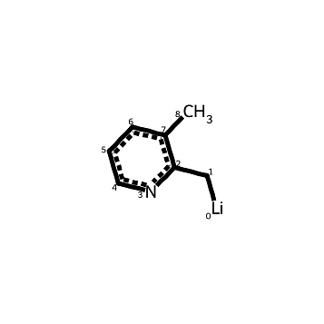 [Li][CH2]c1ncccc1C